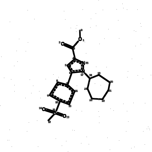 COC(=O)c1cc(-c2ccc(S(C)(=O)=O)cc2)n(C2CCCCCC2)n1